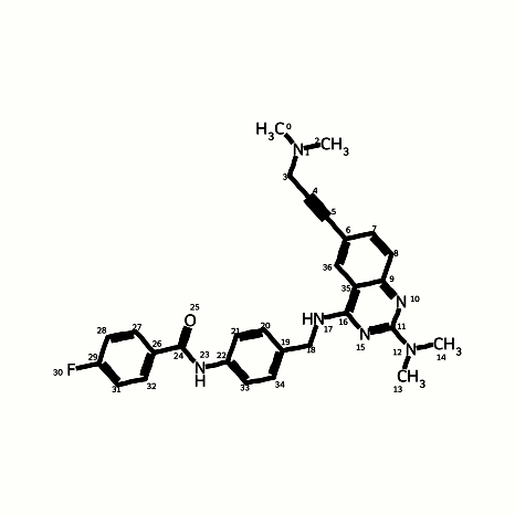 CN(C)CC#Cc1ccc2nc(N(C)C)nc(NCc3ccc(NC(=O)c4ccc(F)cc4)cc3)c2c1